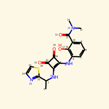 CC(Nc1c(Nc2cccc(C(=O)N(C)C)c2O)c(=O)c1=O)c1nccs1